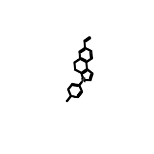 C=Cc1ccc2c(c1)CCc1c-2ccn1C1=CCC(C)C=C1